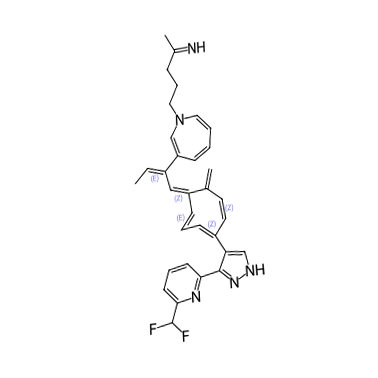 C=C1\C=C/C(c2c[nH]nc2-c2cccc(C(F)F)n2)=C/C=C/C1=C/C(=C\C)C1=CN(CCCC(C)=N)C=CC=C1